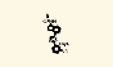 CC(C)Oc1c(C#N)cccc1-c1ncc(-c2cccc3c2CCC3N[SH](=O)=O)s1